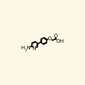 Nc1ccc(-c2ccc(OCC(=O)O)cc2)cn1